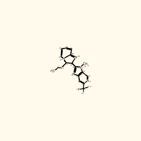 CCSC1C(c2nc3cc(C(F)(F)F)ncc3n2C)N=C2C=CC=CN21